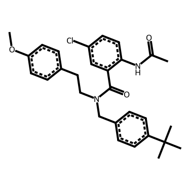 COc1ccc(CCN(Cc2ccc(C(C)(C)C)cc2)C(=O)c2cc(Cl)ccc2NC(C)=O)cc1